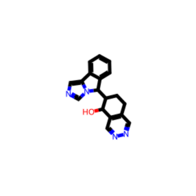 OC1c2cnncc2CCC1C1c2ccccc2-c2cncn21